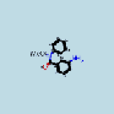 CON(C(=O)c1cccc(N)c1)c1ccccc1